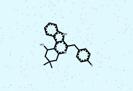 CC1(C)Cc2nc(Cc3ccc(F)cc3)c3[nH]c4ccccc4c3c2C(O)C1